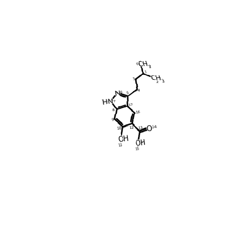 CC(C)CCc1n[nH]c2cc(O)c(C(=O)O)cc12